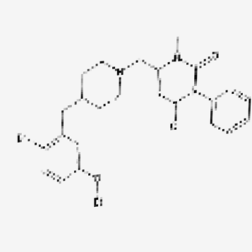 CCOc1ccc(Br)c(CC2CCN(Cc3cc(=O)n(-c4ccccc4)c(=O)n3C)CC2)c1